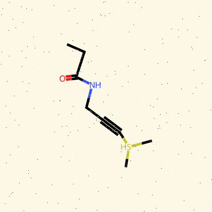 CCC(=O)NCC#C[SH](C)C